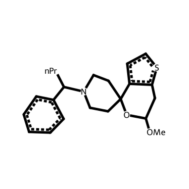 CCCC(c1ccccc1)N1CCC2(CC1)OC(OC)Cc1sccc12